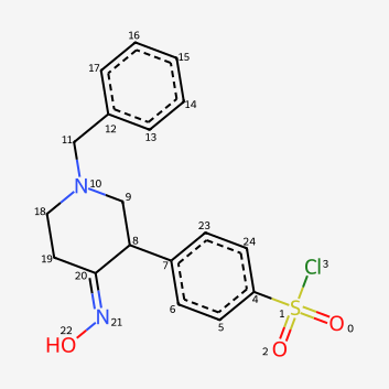 O=S(=O)(Cl)c1ccc(C2CN(Cc3ccccc3)CC/C2=N\O)cc1